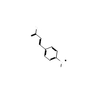 NC(=O)C=Cc1ccc([N+](=O)[O-])cc1